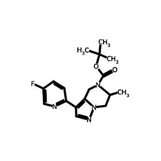 CC1Cn2ncc(-c3ccc(F)cn3)c2CN1C(=O)OC(C)(C)C